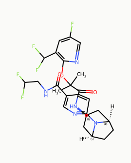 CC(C)(Oc1ncc(F)cc1C(F)F)C(=O)N[C@H]1C[C@H]2CC[C@@H](C1)N2c1ccc(C(=O)NCC(F)F)cn1